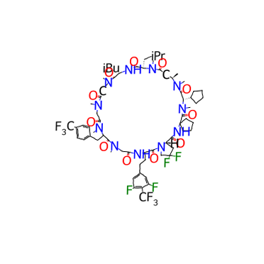 CC[C@H](C)C1NC(=O)[C@H](CC(C)C)N(C)C(=O)C[C@@H](C)N(C)C(=O)[C@H](C2CCCC2)N(C)C(=O)C2(CCCC2)NC(=O)[C@@H]2CC(F)(F)CN2C(=O)C(CCc2cc(F)c(C(F)(F)F)c(F)c2)NC(=O)CN(C)C(=O)C(Cc2ccc(C(F)(F)F)cc2)N(C)C(=O)CN(C)C(=O)CN(C)C1=O